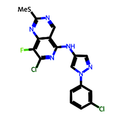 CSc1ncc2c(Nc3cnn(-c4cccc(Cl)c4)c3)nc(Cl)c(F)c2n1